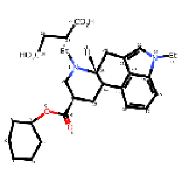 CCN1C[C@H](C(=O)OC2CCCCC2)CC2c3cccc4c3c(cn4CC)C[C@H]21.O=C(O)CCC(=O)O